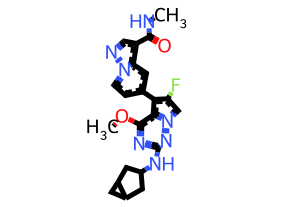 CNC(=O)c1cnn2ccc(-c3c(F)cn4nc(NC5CC6CC6C5)nc(OC)c34)cc12